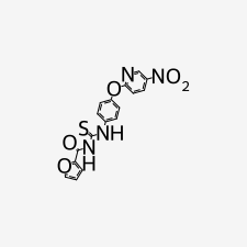 O=C(NC(=S)Nc1ccc(Oc2ccc([N+](=O)[O-])cn2)cc1)c1ccco1